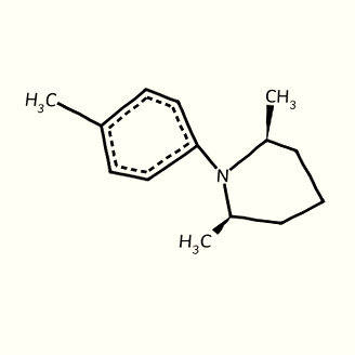 Cc1ccc(N2[C@H](C)CCC[C@@H]2C)cc1